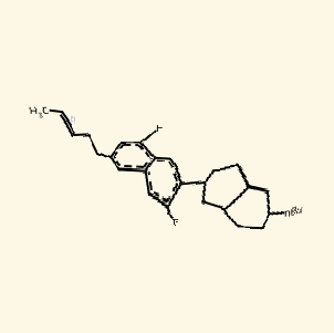 C/C=C/CCc1cc(F)c2cc(C3CCC4CC(CCCC)CCC4C3)c(F)cc2c1